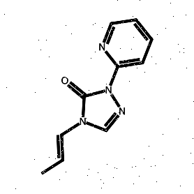 C/C=C/n1cnn(-c2ccccn2)c1=O